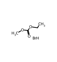 Br.CCOC(=O)OC